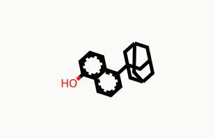 Oc1cccc2c(C34CC5CC(CC(C5)C3)C4)cccc12